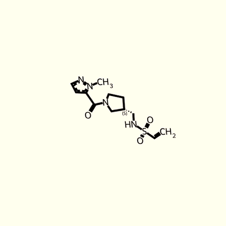 C=CS(=O)(=O)NC[C@H]1CCN(C(=O)c2ccnn2C)C1